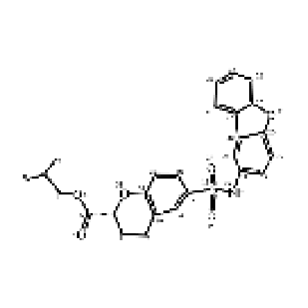 CC(C)COC(=O)[C@H]1CCc2cc(S(=O)(=O)Nc3ccc4oc5ccccc5c4c3)ccc2O1